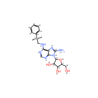 C[Si](C)(CNc1ncnc2c1nc(N)n2C1OC(CO)C(O)C1O)c1ccccc1